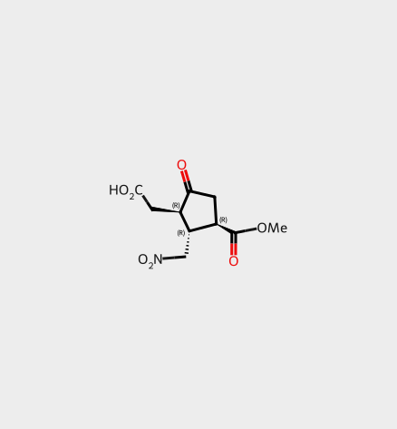 COC(=O)[C@@H]1CC(=O)[C@H](CC(=O)O)[C@H]1C[N+](=O)[O-]